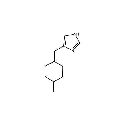 CC1CCC(Cc2c[nH]cn2)CC1